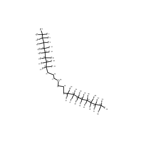 FC(F)(F)C(F)(F)C(F)(F)C(F)(F)C(F)(F)C(F)(F)C(F)(F)C(F)(F)CCCOCCCC(F)(F)C(F)(F)C(F)(F)C(F)(F)C(F)(F)C(F)(F)C(F)(F)C(F)(F)F